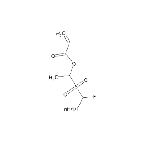 C=CC(=O)OC(C)S(=O)(=O)C(F)CCCCCCC